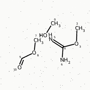 CO.COC(=N)N.COC=O